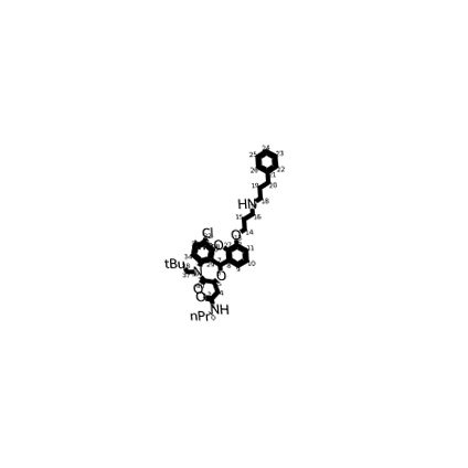 CCCNC(=O)CC1OC(c2cccc(OCCCNCCCc3ccccc3)c2OC)c2cc(Cl)ccc2N(CC(C)(C)C)C1=O